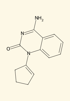 Nc1nc(=O)n(C2=CCCC2)c2ccccc12